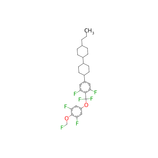 CCCC1CCC(C2CCC(c3cc(F)c(C(F)(F)Oc4cc(F)c(OCF)c(F)c4)c(F)c3)CC2)CC1